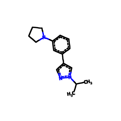 CC(C)n1cc(-c2cccc(N3CCCC3)c2)cn1